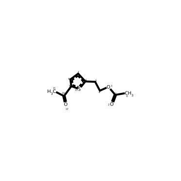 CC(=O)OCCc1ccc(C(C)=O)s1